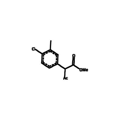 COC(=O)C(C(C)=O)c1ccc(Cl)c(C)c1